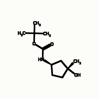 CC(C)(C)OC(=O)N[C@@H]1CC[C@@](C)(O)C1